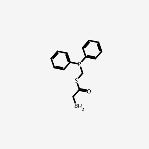 BCC(=O)SCP(c1ccccc1)c1ccccc1